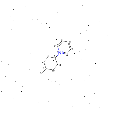 CC1CCC([n+]2ccccc2)CC1